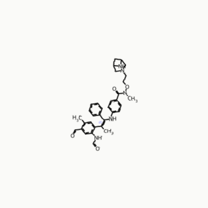 C/C(=C(\Nc1ccc(C(=O)N(C)OCCN2CC3CC(C2)N3)cc1)c1ccccc1)c1cc(C)c(C=O)cc1NC=O